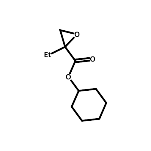 CCC1(C(=O)OC2CCCCC2)CO1